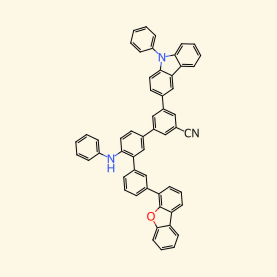 N#Cc1cc(-c2ccc(Nc3ccccc3)c(-c3cccc(-c4cccc5c4oc4ccccc45)c3)c2)cc(-c2ccc3c(c2)c2ccccc2n3-c2ccccc2)c1